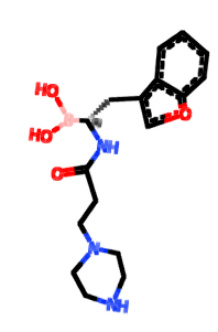 O=C(CCN1CCNCC1)N[C@@H](Cc1coc2ccccc12)B(O)O